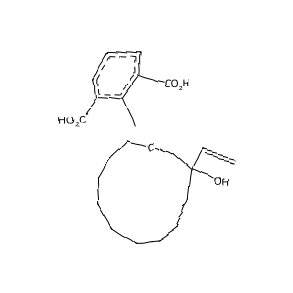 C=CC1(O)CCCCCCCCCCC1.Cc1c(C(=O)O)cccc1C(=O)O